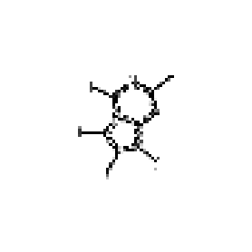 Cc1cc2c(I)c(I)c(I)n2c(I)n1